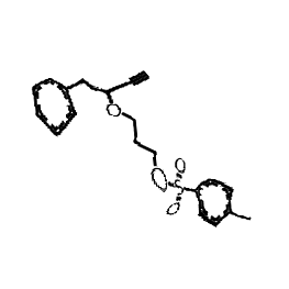 C#CC(Cc1ccccc1)OCCCOS(=O)(=O)c1ccc(C)cc1